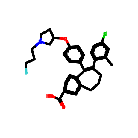 Cc1cc(Cl)ccc1C1=C(c2ccc(OC3CCN(CCCF)C3)cc2)c2ccc(C(=O)O)cc2CCC1